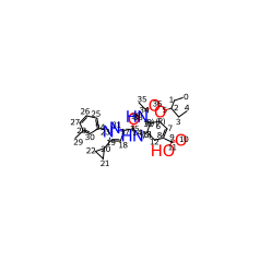 CCC(CC)O[C@@H]1C=C(C(=O)O)C[C@H](NC(=O)c2cc(C3CC3)n(-c3cccc(C)c3)n2)[C@H]1NC(C)=O